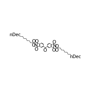 CCCCCCCCCCCCCCCCCC(=O)ON1C(=O)c2ccc(C(=O)c3ccc4c(c3)C(=O)N(OC(=O)CCCCCCCCCCCCCCCCC)C4=O)cc2C1=O